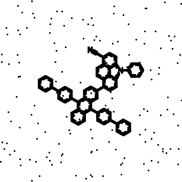 N#Cc1ccc2c3c1ccc1c(-c4ccc5c(-c6ccc(-c7ccccc7)cc6)c6ccccc6c(-c6ccc(-c7ccccc7)cc6)c5c4)ccc(c13)n2-c1ccccc1